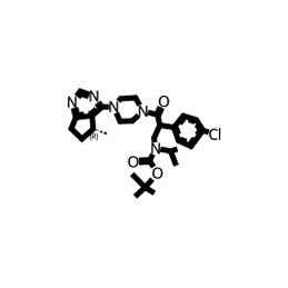 CC(C)N(CC(C(=O)N1CCN(c2ncnc3c2[C@H](C)CC3)CC1)c1ccc(Cl)cc1)C(=O)OC(C)(C)C